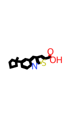 CC1(c2ccc3nc4sc(C(=O)O)cc4cc3c2)CCCC1